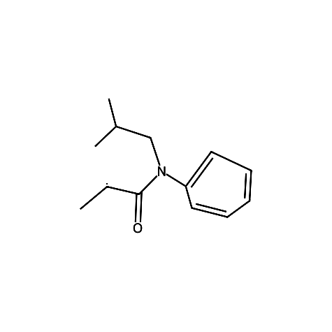 C[CH]C(=O)N(CC(C)C)c1ccccc1